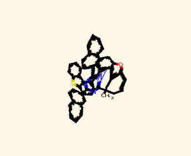 CC1(c2nc(-c3ccc4ccccc4c3)nc(-c3ccc4ccccc4c3)n2)CC=Cc2oc3cccc(-c4cccc5sc6ccccc6c45)c3c21